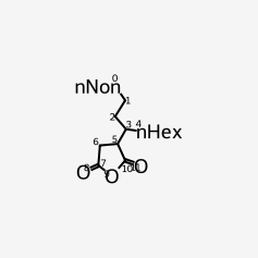 CCCCCCCCCCCC(CCCCCC)C1CC(=O)OC1=O